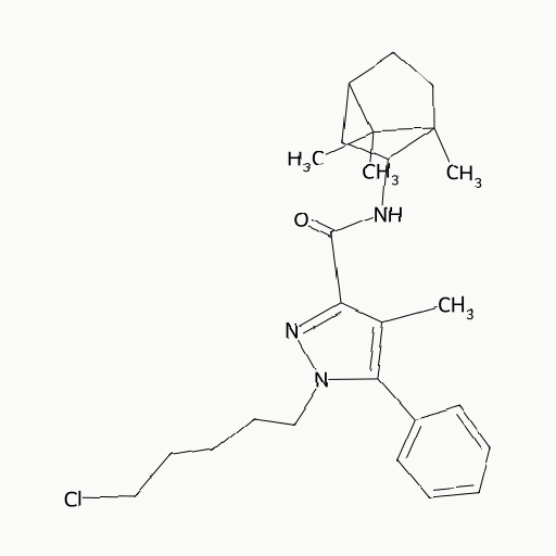 Cc1c(C(=O)NC2CC3CCC2(C)C3(C)C)nn(CCCCCCl)c1-c1ccccc1